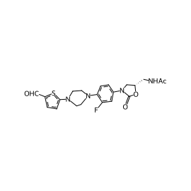 CC(=O)NC[C@H]1CN(c2ccc(N3CCN(c4ccc(C=O)s4)CC3)c(F)c2)C(=O)O1